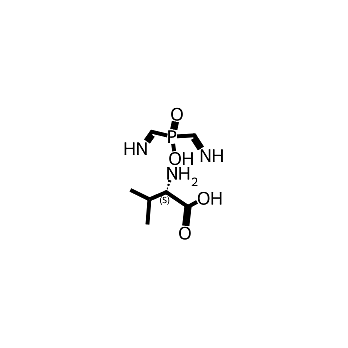 CC(C)[C@H](N)C(=O)O.N=CP(=O)(O)C=N